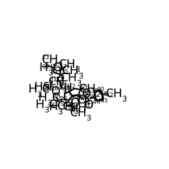 C=C1C[C@H]2[C@@H](C(=CCC(C)(CCCC)C(C)(C)C)O[SiH](C)C)[C@H](C(C)(C)C)C[C@@]2(O[SiH](C)C)C1OS(=O)(=O)c1ccc(C)cc1